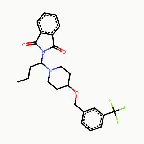 CCCC(N1CCC(OCc2cccc(C(F)(F)F)c2)CC1)N1C(=O)c2ccccc2C1=O